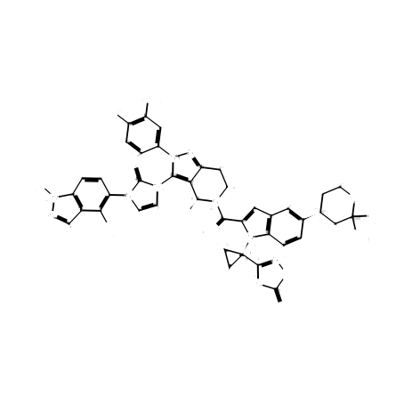 Cc1cc(-n2nc3c(c2-n2ccn(-c4ccc5c(cnn5C)c4Cl)c2=O)[C@H](C)N(C(=O)c2cc4cc([C@H]5CCOC(C)(C)C5)ccc4n2[C@@]2(c4noc(=O)[nH]4)C[C@@H]2C)CC3)ccc1F